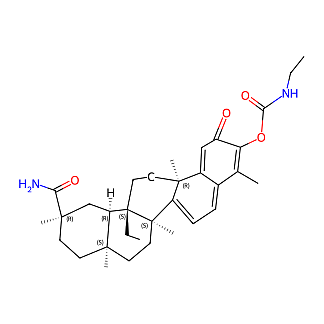 CCNC(=O)OC1=C(C)C2=CC=C3[C@@](C)(CC[C@@]4(CC)[C@@H]5C[C@](C)(C(N)=O)CC[C@]5(C)CC[C@]34C)C2=CC1=O